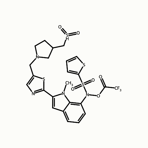 Cn1c(-c2ncc(CN3CCC(C[SH](=O)=O)C3)s2)cc2cccc(N(OC(=O)C(F)(F)F)S(=O)(=O)c3cccs3)c21